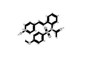 COc1ccc(S(=O)(=O)N(C(C)=O)c2ccccc2/C=C/c2cc[n+]([O-])cc2)cc1